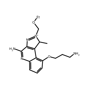 CCOC[N+]1=Nc2c(N)nc3cccc(OCCCN)c3c2C1C